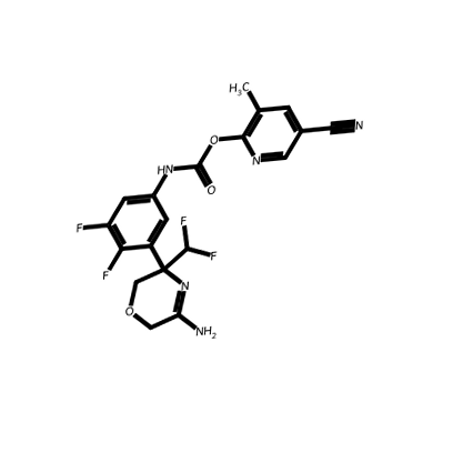 Cc1cc(C#N)cnc1OC(=O)Nc1cc(F)c(F)c(C2(C(F)F)COCC(N)=N2)c1